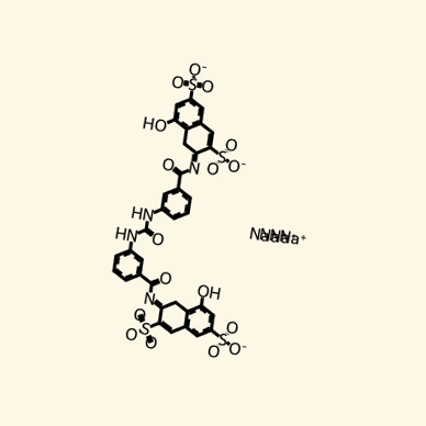 O=C(Nc1cccc(C(=O)N=C2Cc3c(O)cc(S(=O)(=O)[O-])cc3C=C2S(=O)(=O)[O-])c1)Nc1cccc(C(=O)N=C2Cc3c(O)cc(S(=O)(=O)[O-])cc3C=C2S(=O)(=O)[O-])c1.[Na+].[Na+].[Na+].[Na+]